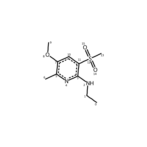 CCNc1nc(C)c(OC)cc1S(C)(=O)=O